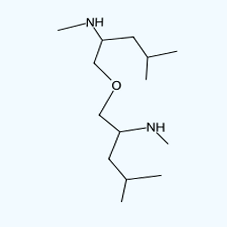 CNC(COCC(CC(C)C)NC)CC(C)C